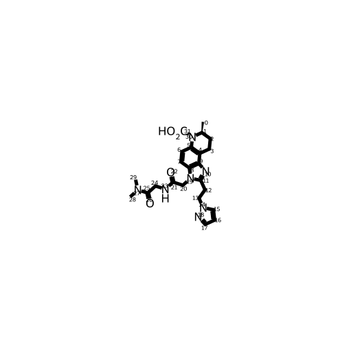 C[C@H]1CCc2c(ccc3c2nc(CCn2cccn2)n3CC(=O)NCC(=O)N(C)C)N1C(=O)O